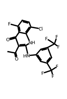 CC(=O)c1c(Nc2cc(C(F)(F)F)cc(C(F)(F)F)c2)[nH]c2c(Cl)ccc(F)c2c1=O